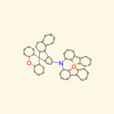 c1ccc2c(c1)Oc1ccccc1C21c2ccc(N(c3cccc4c3oc3ccccc34)c3cccc4c3sc3ccccc34)cc2-c2c1ccc1ccccc21